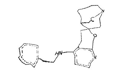 c1ccc(CNc2ccnc3c2CC2(CN4CCC2CC4)O3)cc1